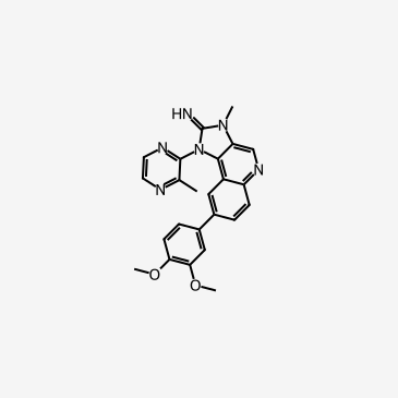 COc1ccc(-c2ccc3ncc4c(c3c2)n(-c2nccnc2C)c(=N)n4C)cc1OC